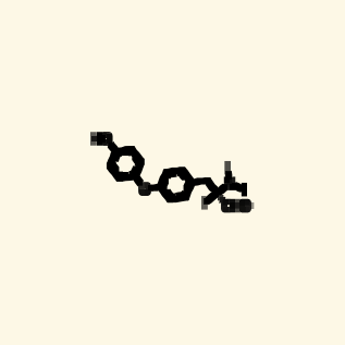 O=[C][C@](I)(Cc1ccc(Oc2ccc(O)cc2)cc1)N(I)I